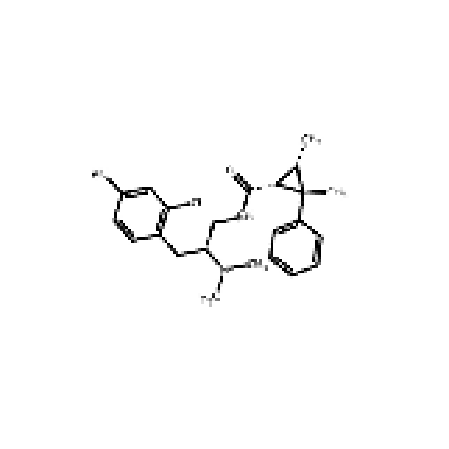 C[C@H]1[C@@H](C(=O)NC[C@H](Cc2ccc(O)cc2Cl)N(C)C)[C@@]1(C)c1ccccc1